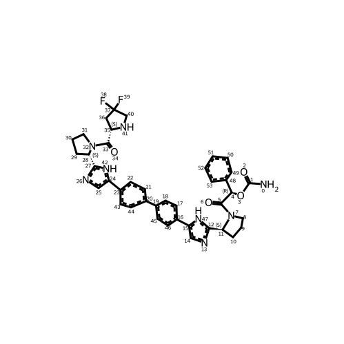 NC(=O)O[C@@H](C(=O)N1CCC[C@H]1c1ncc(-c2ccc(-c3ccc(-c4cnc([C@@H]5CCCN5C(=O)[C@@H]5CC(F)(F)CN5)[nH]4)cc3)cc2)[nH]1)c1ccccc1